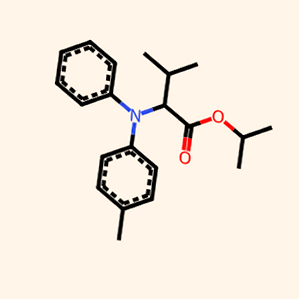 Cc1ccc(N(c2ccccc2)C(C(=O)OC(C)C)C(C)C)cc1